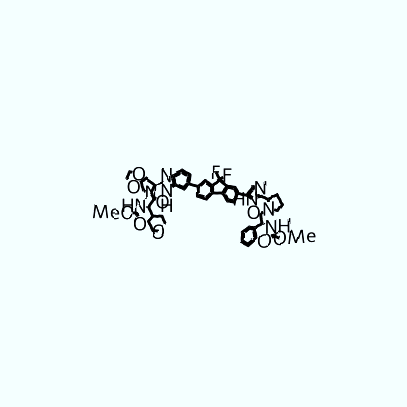 COC(=O)N[C@H](C(=O)N1CC2(C[C@H]1c1nc3ccc(-c4ccc5c(c4)C(F)(F)c4cc(-c6cnc(C7CCCN7C(=O)[C@H](NC(=O)OC)c7ccccc7)[nH]6)ccc4-5)cc3[nH]1)OCCO2)C1CCOCC1